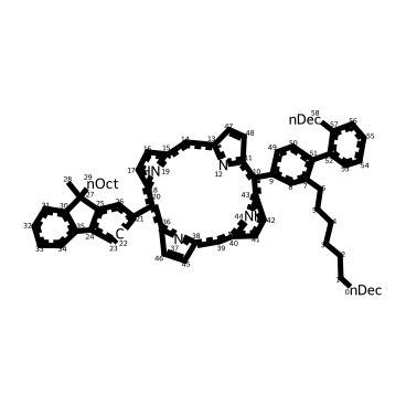 CCCCCCCCCCCCCCCCc1cc(-c2c3nc(cc4ccc([nH]4)c(-c4ccc5c(c4)C(C)(CCCCCCCC)c4ccccc4-5)c4nc(cc5ccc2[nH]5)C=C4)C=C3)ccc1-c1ccccc1CCCCCCCCCC